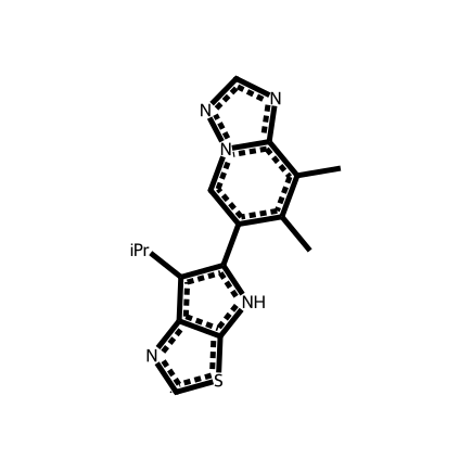 Cc1c(-c2[nH]c3s[c]nc3c2C(C)C)cn2ncnc2c1C